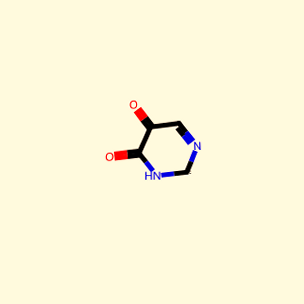 O=C1C=N[C]NC1=O